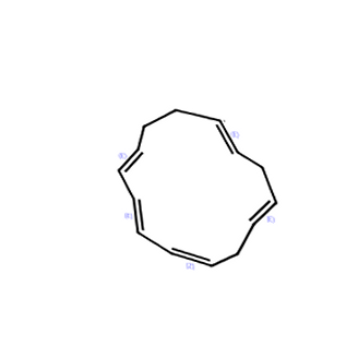 [C]1=C/C/C=C/C\C=C/C=C/C=C/CC/1